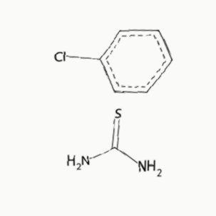 Clc1ccccc1.NC(N)=S